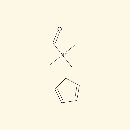 C[N+](C)(C)C=O.[CH]1C=CC=C1